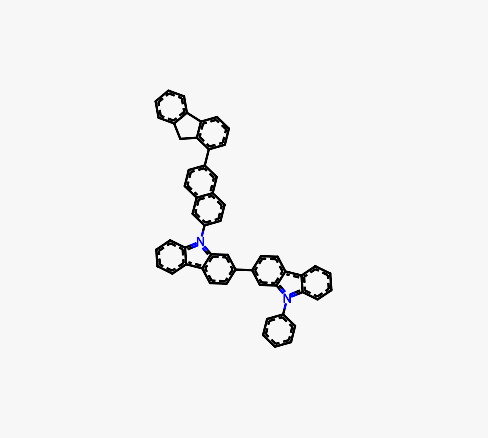 c1ccc(-n2c3ccccc3c3ccc(-c4ccc5c6ccccc6n(-c6ccc7cc(-c8cccc9c8Cc8ccccc8-9)ccc7c6)c5c4)cc32)cc1